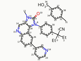 CCC(C#N)(CC)c1ccc(-n2c(=O)n(C)c3cnc4ccc(-c5cccnc5)cc4c32)cc1.Cc1ccc(S(=O)(=O)O)cc1